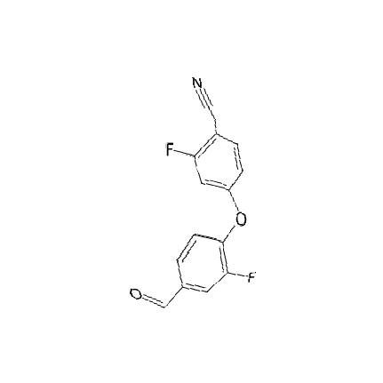 N#Cc1ccc(Oc2ccc(C=O)cc2F)cc1F